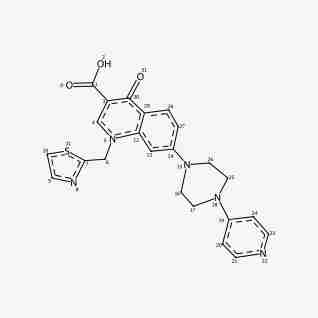 O=C(O)c1cn(Cc2nccs2)c2cc(N3CCN(c4ccncc4)CC3)ccc2c1=O